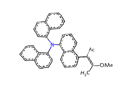 CO/C(C)=C(\C(C)=O)c1cccc2c(N(c3cccc4ccccc34)c3cccc4ccccc34)cccc12